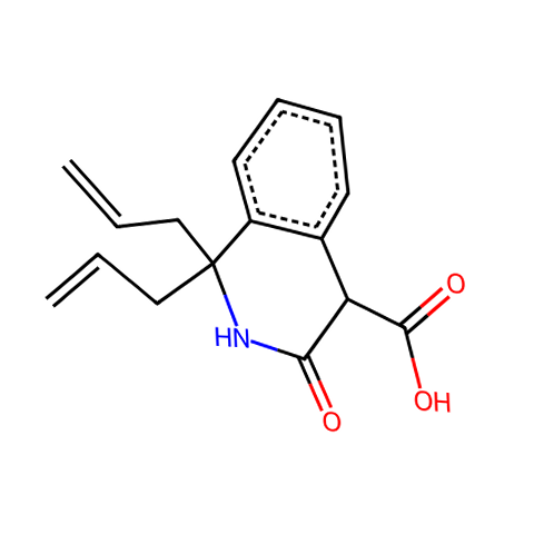 C=CCC1(CC=C)NC(=O)C(C(=O)O)c2ccccc21